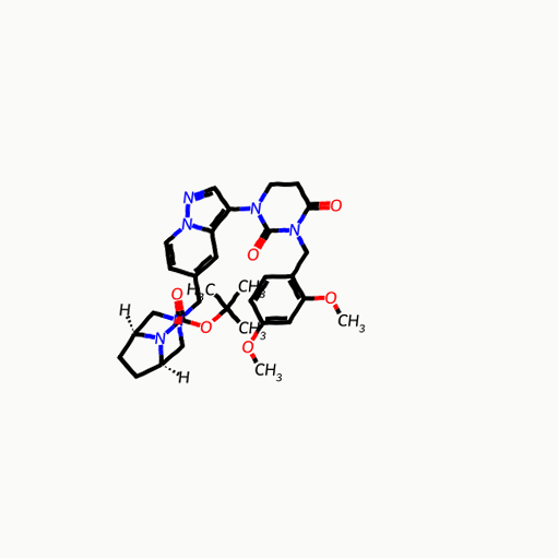 COc1ccc(CN2C(=O)CCN(c3cnn4ccc(CN5C[C@H]6CC[C@@H](C5)N6C(=O)OC(C)(C)C)cc34)C2=O)c(OC)c1